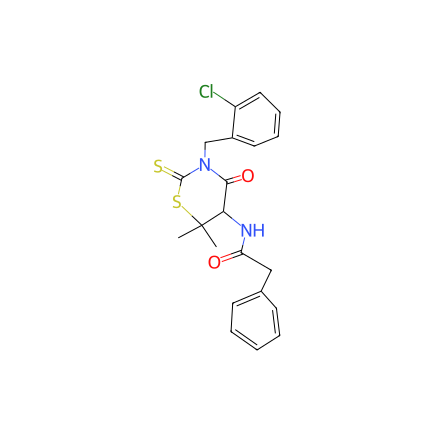 CC1(C)SC(=S)N(Cc2ccccc2Cl)C(=O)C1NC(=O)Cc1ccccc1